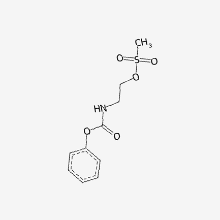 CS(=O)(=O)OCCNC(=O)Oc1ccccc1